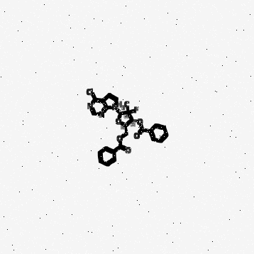 C[C@]1(F)C(n2ccc3c(Cl)ncnc32)O[C@H](COC(=O)c2ccccc2)[C@H]1OC(=O)c1ccccc1